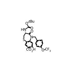 CC(C)(C)OC(=O)N[C@H]1CSc2ccc(C(=O)O)cc2N(Cc2ccc(OC(F)(F)F)cc2)C1=O